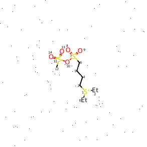 CC[S+](CC)CCCCS(=O)(=O)OS(C)(=O)=O